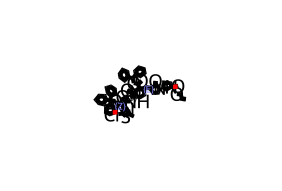 C=CCOC(=O)N1CC[C@@H](N2CC/C(=C\C3=C(C(=O)OC(c4ccccc4)c4ccccc4)N4C(=O)[C@@H](NC(=O)/C(=N\OC(c5ccccc5)(c5ccccc5)c5ccccc5)c5nc(C)sc5Cl)C4CC3)C2=O)C1